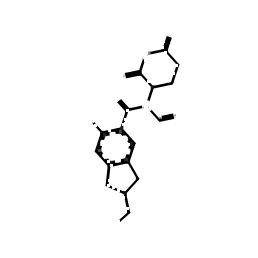 Cc1cc2c(cc1C(=O)N(C=O)C1CCC(=O)NC1=O)CC(CO)C2